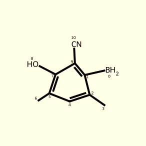 Bc1c(C)cc(C)c(O)c1C#N